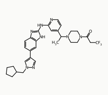 CC(c1ccnc(Nc2nc3ccc(-c4cnn(CC5CCCC5)c4)cc3[nH]2)c1)N1CCN(C(=O)CC(F)(F)F)CC1